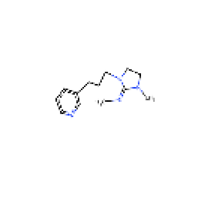 C/N=C1/N(C)CCN1CCCc1cccnc1